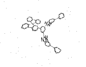 c1ccc(-c2ccc3nc(-c4cc(-c5ccc6c(c5)C5(c7ccccc7-c7ccccc75)c5ccccc5-6)cc(-c5nc6ccc(-c7ccccc7)cn6n5)c4)nn3c2)cc1